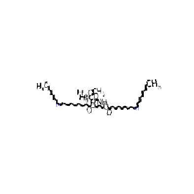 CCCCCCCC/C=C\CCCCCCCC(=O)OCC(COC(=O)CCCCCCC/C=C\CCCCCCCC)NC(=O)OC(C)(C)C